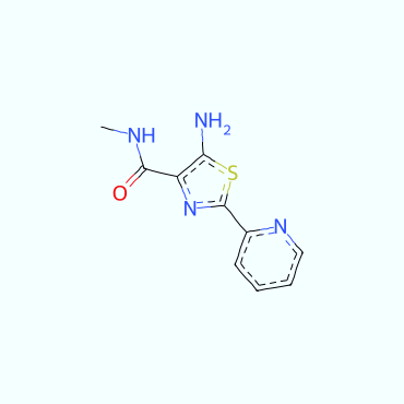 CNC(=O)c1nc(-c2ccccn2)sc1N